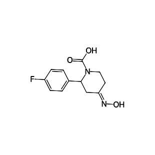 O=C(O)N1CC/C(=N\O)CC1c1ccc(F)cc1